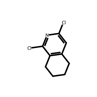 Clc1cc2c(c(Cl)n1)CCCC2